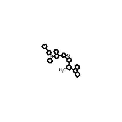 CC1C=C(c2ccc3oc4ccc(-c5ccc(N(c6ccccc6)c6ccc(C7=CC=CCC7)cc6)c6ccccc56)cc4c3c2)C=C(c2cc3ccccc3c3ccc#cc23)C1